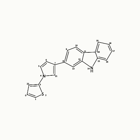 c1csc(-n2ccc(-c3ccc4c(c3)[nH]c3ccccc34)c2)c1